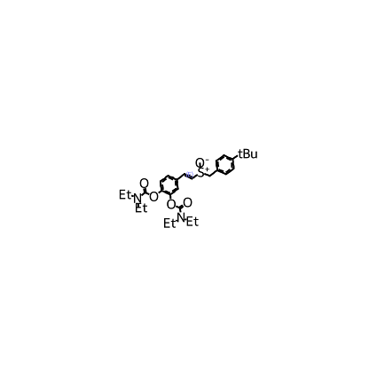 CCN(CC)C(=O)Oc1ccc(/C=C/[S+]([O-])Cc2ccc(C(C)(C)C)cc2)cc1OC(=O)N(CC)CC